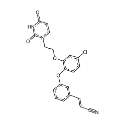 N#C/C=C/c1cccc(Oc2ccc(Cl)cc2OCCn2ccc(=O)[nH]c2=O)c1